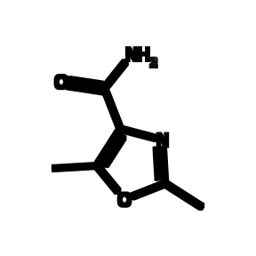 Cc1nc(C(N)=O)c(C)o1